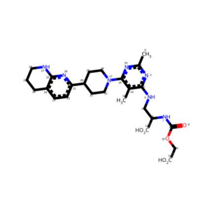 Cc1nc(NCC(NC(=O)OCC(=O)O)C(=O)O)c(C)c(N2CCC(c3ccc4c(n3)NCCC4)CC2)n1